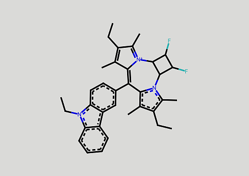 CCC1=C(C)C2=C(c3ccc4c(c3)c3ccccc3n4CC)c3c(C)c(CC)c(C)n3C3C(F)C(F)C3[N+]2=C1C